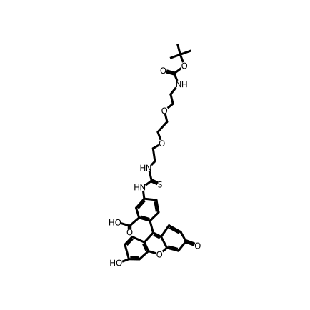 CC(C)(C)OC(=O)NCCOCCOCCNC(=S)Nc1ccc(-c2c3ccc(=O)cc-3oc3cc(O)ccc23)c(C(=O)O)c1